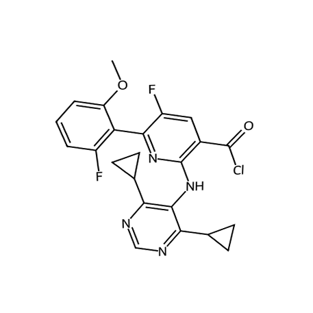 COc1cccc(F)c1-c1nc(Nc2c(C3CC3)ncnc2C2CC2)c(C(=O)Cl)cc1F